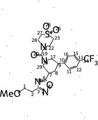 COCCc1noc(C2CC(c3ccc(C(F)(F)F)cc3)CN(C(=O)N3CCS(=O)(=O)CC3)C2)n1